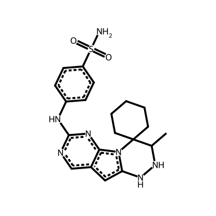 CC1NNc2cc3cnc(Nc4ccc(S(N)(=O)=O)cc4)nc3n2C12CCCCC2